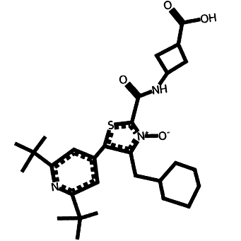 CC(C)(C)c1cc(-c2sc(C(=O)NC3CC(C(=O)O)C3)[n+]([O-])c2CC2CCCCC2)cc(C(C)(C)C)n1